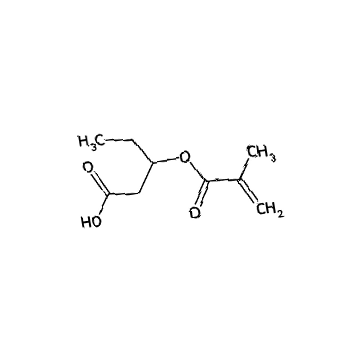 C=C(C)C(=O)OC(CC)CC(=O)O